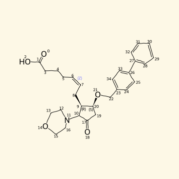 O=C(O)CCC/C=C\C[C@@H]1C(N2CCOCC2)C(=O)C[C@@H]1OCc1ccc(-c2ccccc2)cc1